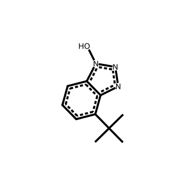 CC(C)(C)c1cccc2c1nnn2O